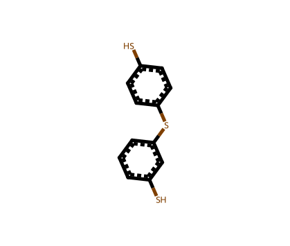 Sc1ccc(Sc2cccc(S)c2)cc1